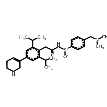 CC(C)c1cc(C2=CCCNC2)cc(C(C)C)c1CC(=O)N[S+]([O-])c1ccc(CN(C)C)cc1